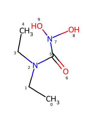 CCN(CC)C(=O)N(O)O